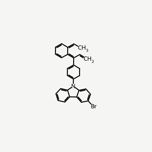 C=C/C(C1=CC=C(n2c3ccccc3c3cc(Br)ccc32)CC1)=c1/cccc/c1=C/C